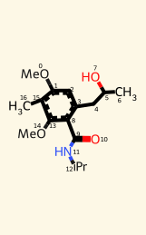 COc1cc(CC(C)O)c(C(=O)NC(C)C)c(OC)c1C